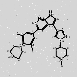 Cc1cc(-c2cc3c(-c4cnn(C5CCN(C)CC5)c4)c[nH]c3nn2)cc(C)c1N1CCOCC1